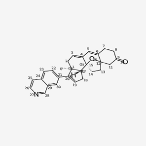 C[C@]12CC=C3C=C4CCC(=O)CC45CC[C@]3(O5)[C@@H]1CC=C2c1ccc2ccncc2c1